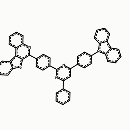 c1ccc(-c2cc(-c3ccc(-n4c5ccccc5c5ccccc54)cc3)nc(-c3ccc(-c4nc5ccccc5c5c4sc4ccccc45)cc3)n2)cc1